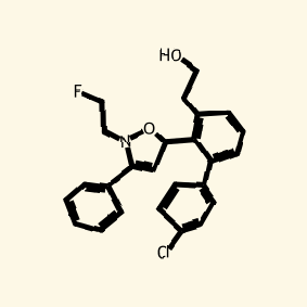 OCCc1cccc(-c2ccc(Cl)cc2)c1C1C=C(c2ccccc2)N(CCF)O1